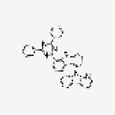 c1ccc(-c2nc(-c3ccccc3)nc(-c3cccc4c3sc3cccc(-n5c6ccccc6c6cccnc65)c34)n2)cc1